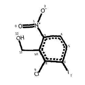 O=[N+]([O-])c1ccc(I)c(Cl)c1CO